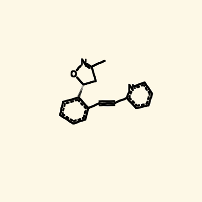 CC1=NO[C@@H](c2ccccc2C#Cc2ccccn2)C1